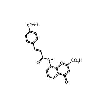 CCCCCc1ccc(C=CC(=O)Nc2cccc3c(=O)cc(C(=O)O)oc23)cc1